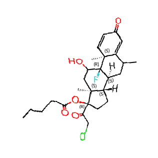 CCCCC(=O)O[C@]1(C(=O)CCl)CC[C@H]2[C@@H]3CC(C)C4=CC(=O)C=C[C@]4(C)[C@@]3(F)C(O)C[C@@]21C